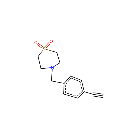 C#Cc1ccc(CN2CCS(=O)(=O)CC2)cc1